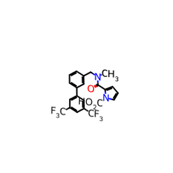 CN(Cc1cccc(-c2cc(C(F)(F)F)cc(C(F)(F)F)c2)c1)C(=O)c1cccn1C(=O)O